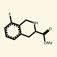 COC(=O)C1Cc2cccc(F)c2CN1